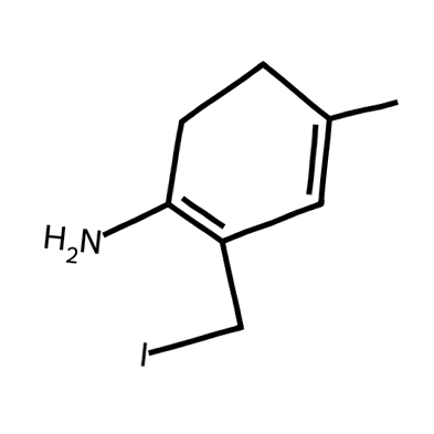 CC1=CC(CI)=C(N)CC1